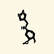 COc1cc(NCc2cnn(C)c2)ccc1F